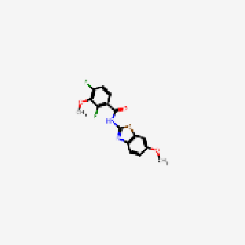 COc1ccc2nc(NC(=O)c3ccc(F)c(OC)c3F)sc2c1